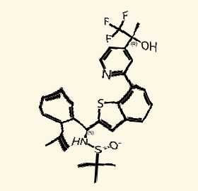 C=C(C)c1ccccc1[C@H](N[S+]([O-])C(C)(C)C)c1cc2cccc(-c3cc([C@@](C)(O)C(F)(F)F)ccn3)c2s1